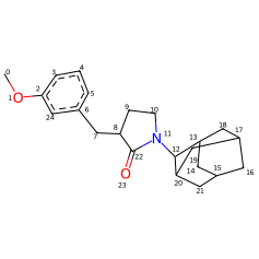 COc1cccc(CC2CCN(C3C4CC5CC(C4)CC3C5)C2=O)c1